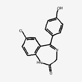 O=C1CN=C(c2ccc(O)cc2)c2cc(Cl)ccc2N1